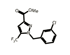 COC(=O)c1cc(C(F)(F)F)n(Cc2cccc(Cl)c2)n1